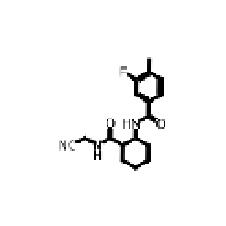 Cc1ccc(C(=O)NC2CCCCC2C(=O)NCC#N)cc1F